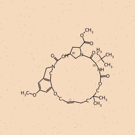 COC(=O)C1C[C@@H]2CN1C(=O)[C@H](C(C)(C)C)NC(=O)OCC(C)(C)CC/C=C/COc1cc(OC)cc3c1CN(C3)C(=O)O2